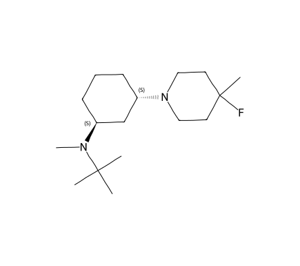 CN([C@H]1CCC[C@H](N2CCC(C)(F)CC2)C1)C(C)(C)C